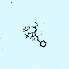 COC(=O)/C=C1/[C@@H](N=Cc2ccccc2)[C@H]2SC(C)(C)[C@H](C(=O)O)N12